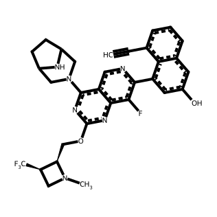 C#Cc1cccc2cc(O)cc(-c3ncc4c(N5CC6CCC(C5)N6)nc(OC[C@@H]5[C@H](C(F)(F)F)CN5C)nc4c3F)c12